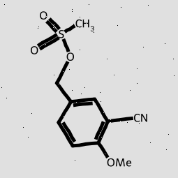 COc1ccc(COS(C)(=O)=O)cc1C#N